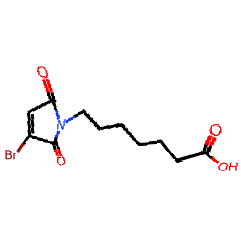 O=C(O)CCCCCCN1C(=O)C=C(Br)C1=O